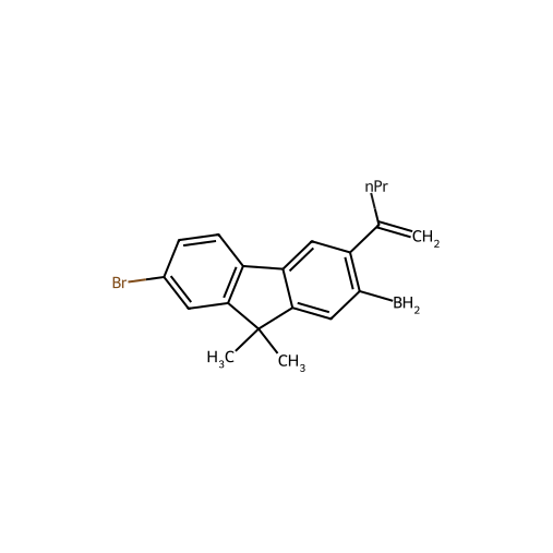 Bc1cc2c(cc1C(=C)CCC)-c1ccc(Br)cc1C2(C)C